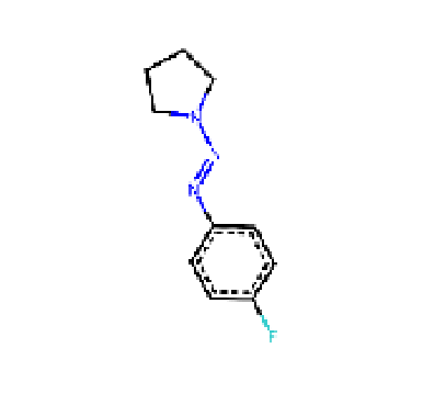 Fc1ccc(/N=N/N2CCCC2)cc1